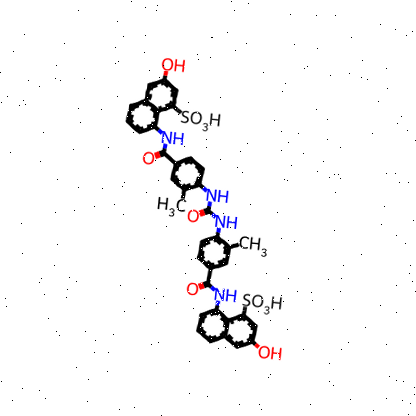 Cc1cc(C(=O)Nc2cccc3cc(O)cc(S(=O)(=O)O)c23)ccc1NC(=O)Nc1ccc(C(=O)Nc2cccc3cc(O)cc(S(=O)(=O)O)c23)cc1C